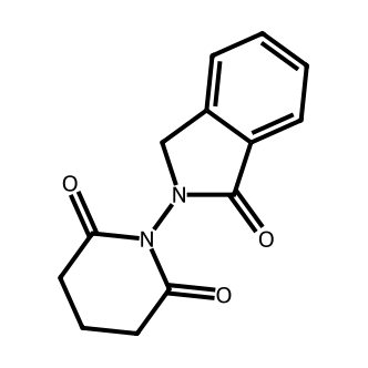 O=C1c2ccccc2CN1N1C(=O)CCCC1=O